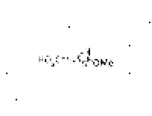 COc1ncc(/C=C/C(=O)O)s1